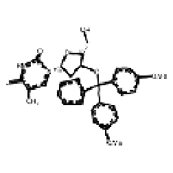 COc1ccc(C(OC2C[C@H](n3cc(C)c(=O)[nH]c3=O)O[C@@H]2CO)(c2ccccc2)c2ccc(OC)cc2)cc1